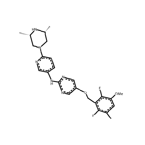 COc1cc(C)c(F)c(COc2cnc(Nc3ccc(N4C[C@@H](C)N[C@@H](C)C4)nc3)nc2)c1F